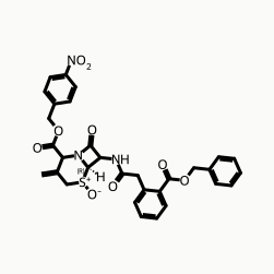 C=C1C[S+]([O-])[C@@H]2C(NC(=O)Cc3ccccc3C(=O)OCc3ccccc3)C(=O)N2C1C(=O)OCc1ccc([N+](=O)[O-])cc1